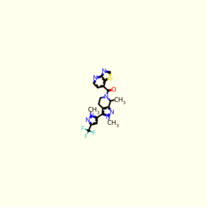 CC1c2nn(C)c(-c3cc(C(F)(F)F)nn3C)c2CCN1C(=O)c1ccnc2ncsc12